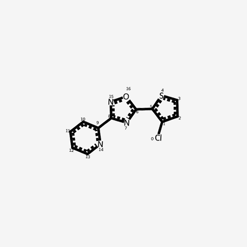 Clc1ccsc1-c1nc(-c2ccccn2)no1